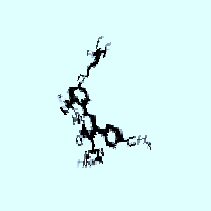 Cc1ccc(-c2cc(-c3ccc(OCCCC(F)(F)F)cc3C(F)(F)F)[nH]c(=O)c2-c2nn[nH]n2)cc1